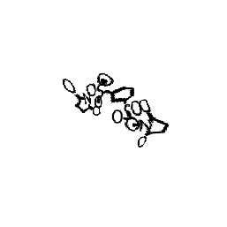 O=C1CCC(=O)N1OS(=O)(=O)c1cccc(S(=O)(=O)ON2C(=O)CCC2=O)c1